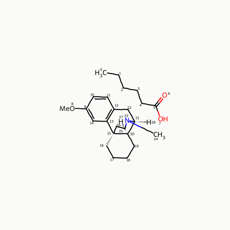 CCCCCC(=O)O.COc1ccc2c(c1)[C@]13CCCC[C@@H]1[C@H](C2)N(C)CC3